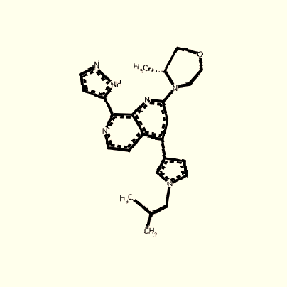 CC(C)Cn1ccc(-c2cc(N3CCOC[C@H]3C)nc3c(-c4ccn[nH]4)nccc23)c1